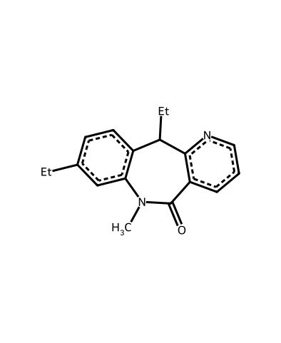 CCc1ccc2c(c1)N(C)C(=O)c1cccnc1C2CC